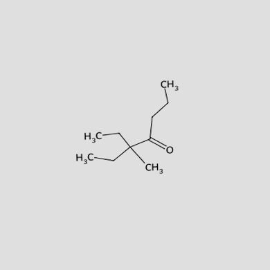 CCCC(=O)C(C)(CC)CC